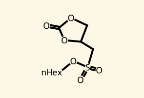 CCCCCCOS(=O)(=O)CC1COC(=O)O1